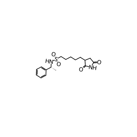 C[C@@H](NS(=O)(=O)CCCCCC1CC(=O)NC1=O)c1ccccc1